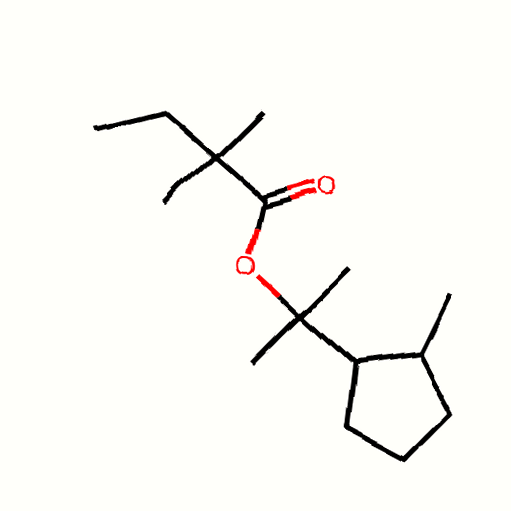 CCC(C)(C)C(=O)OC(C)(C)C1CCCC1C